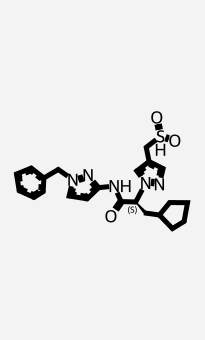 O=C(Nc1ccn(Cc2ccccc2)n1)[C@H](CC1CCCC1)n1cc(C[SH](=O)=O)cn1